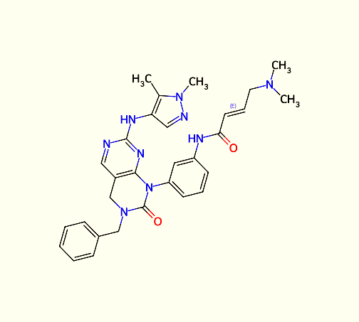 Cc1c(Nc2ncc3c(n2)N(c2cccc(NC(=O)/C=C/CN(C)C)c2)C(=O)N(Cc2ccccc2)C3)cnn1C